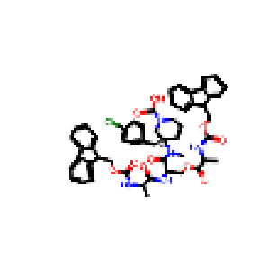 CC(NC(=O)OCC1c2ccccc2-c2ccccc21)C(=O)NC(COC(=O)C(C)NC(=O)OCC1c2ccccc2-c2ccccc21)C(=O)N(C)[C@@]1(Cc2ccc(Cl)cc2)CCCN(C(=O)O)C1